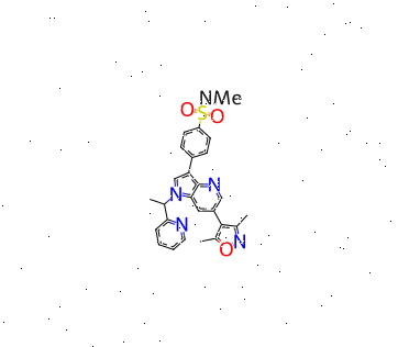 CNS(=O)(=O)c1ccc(-c2cn(C(C)c3ccccn3)c3cc(-c4c(C)noc4C)cnc23)cc1